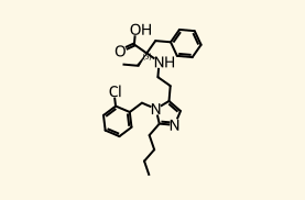 CCCCc1ncc(CCN[C@@](CC)(Cc2ccccc2)C(=O)O)n1Cc1ccccc1Cl